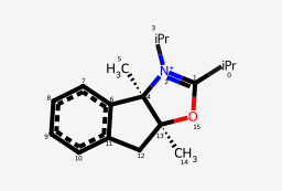 CC(C)C1=[N+](C(C)C)[C@]2(C)c3ccccc3C[C@]2(C)O1